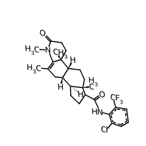 CC1=C2N(C)C(=O)CC[C@]2(C)[C@@H]2CC[C@]3(C)C(C(=O)Nc4c(Cl)cccc4C(F)(F)F)CC[C@H]3[C@@H]2C1